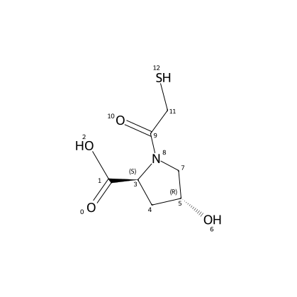 O=C(O)[C@@H]1C[C@@H](O)CN1C(=O)CS